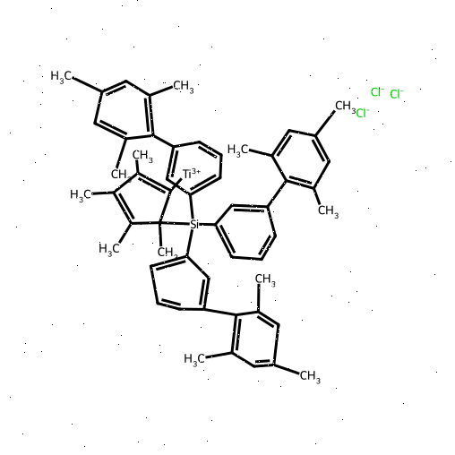 CC1=C(C)C(C)([Si](c2cccc(-c3c(C)cc(C)cc3C)c2)(c2cccc(-c3c(C)cc(C)cc3C)c2)c2cccc(-c3c(C)cc(C)cc3C)c2)[C]([Ti+3])=C1C.[Cl-].[Cl-].[Cl-]